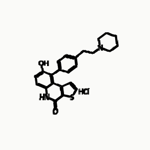 Cl.O=c1[nH]c2ccc(O)c(-c3ccc(CCN4CCCCC4)cc3)c2c2ccsc12